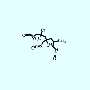 CCC(C)(CN=C=O)CC(C)(CN=C=O)CC(C)CN=C=O